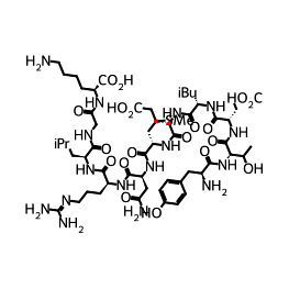 CCC(C)[C@H](NC(=O)[C@H](CC(=O)O)NC(=O)[C@@H](NC(=O)[C@@H](N)Cc1ccc(O)cc1)C(C)O)C(=O)N[C@@H](CCC(=O)O)C(=O)N[C@@H](CCSC)C(=O)N[C@@H](CC(N)=O)C(=O)N[C@@H](CCCN=C(N)N)C(=O)N[C@@H](CC(C)C)C(=O)NCC(=O)N[C@@H](CCCCN)C(=O)O